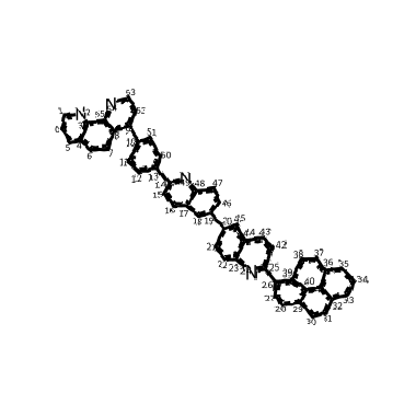 c1cnc2c(c1)ccc1c(-c3ccc(-c4ccc5cc(-c6ccc7nc(-c8ccc9ccc%10cccc%11ccc8c9c%10%11)ccc7c6)ccc5n4)cc3)ccnc12